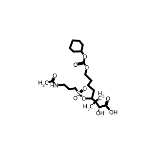 CC(=O)NCCCS(=O)(=O)OC(CCCCOC(=O)OC1CCCCC1)C(C)(C)[C@@H](O)C(=O)O